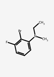 CCN(C)c1cccc(F)c1Br